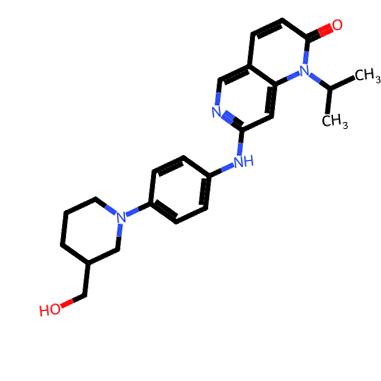 CC(C)n1c(=O)ccc2cnc(Nc3ccc(N4CCCC(CO)C4)cc3)cc21